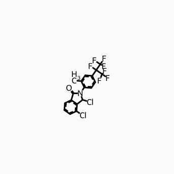 Cc1cc(C(F)(C(F)(F)F)C(F)(F)F)ccc1N1C(=O)c2cccc(Cl)c2C1Cl